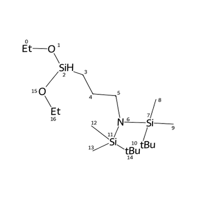 CCO[SiH](CCCN([Si](C)(C)C(C)(C)C)[Si](C)(C)C(C)(C)C)OCC